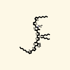 C=C1C(c2cc3c(s2)-c2sc(-c4cnc(-c5ccc(-c6ccc(CCCCCC)s6)s5)c5nsnc45)cc2S3(CCCCCC)CCCCCC)=CN=C(c2ccc(-c3ccc(CCCCCC)s3)s2)/C1=N/SC